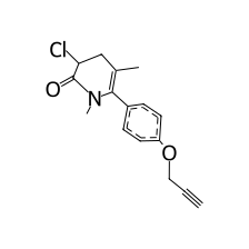 C#CCOc1ccc(C2=C(C)CC(Cl)C(=O)N2C)cc1